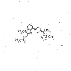 CC(=O)OCc1nc2c(N3CCN(C(=O)OC(C)(C)C)CC3)cccc2n1C